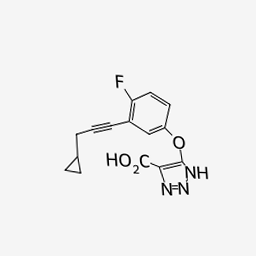 O=C(O)c1nn[nH]c1Oc1ccc(F)c(C#CCC2CC2)c1